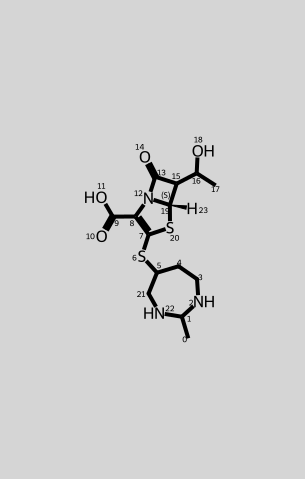 CC1NCCC(SC2=C(C(=O)O)N3C(=O)C(C(C)O)[C@@H]3S2)CN1